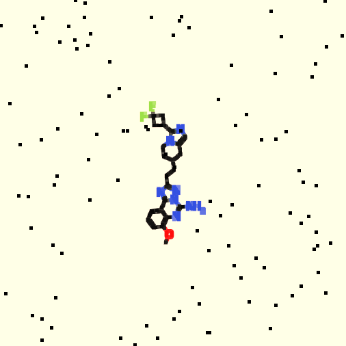 COc1cccc2c1nc(N)n1nc(CCC3CCn4c(cnc4C4CC(F)(F)C4)C3)nc21